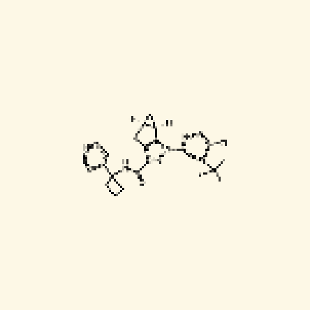 O=C(NC1(c2ccncc2)CCC1)c1nn(-c2cc(C(F)(F)F)c(Cl)cn2)c2c1C[C@H]1C[C@@H]21